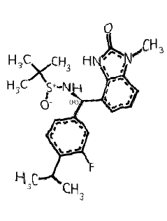 CC(C)c1ccc([C@@H](N[S+]([O-])C(C)(C)C)c2cccc3c2[nH]c(=O)n3C)cc1F